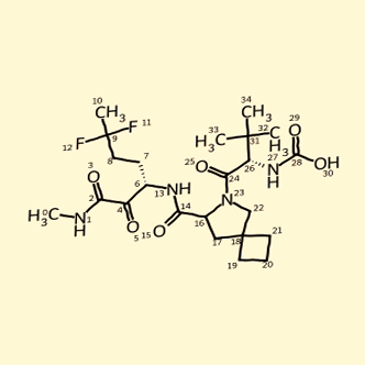 CNC(=O)C(=O)[C@H](CCC(C)(F)F)NC(=O)C1CC2(CCC2)CN1C(=O)[C@@H](NC(=O)O)C(C)(C)C